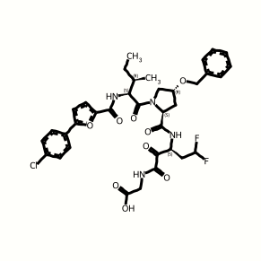 CC[C@@H](C)[C@H](NC(=O)c1ccc(-c2ccc(Cl)cc2)o1)C(=O)N1C[C@H](OCc2ccccc2)C[C@H]1C(=O)N[C@@H](CC(F)F)C(=O)C(=O)NCC(=O)O